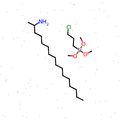 CCCCCCCCCCCCCCC(C)N.CO[Si](CCCCl)(OC)OC